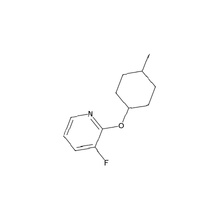 CC1CCC(Oc2ncccc2F)CC1